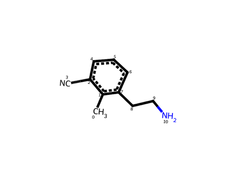 Cc1c(C#N)cccc1CCN